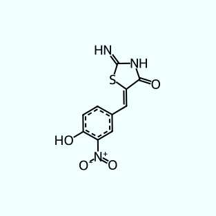 N=C1NC(=O)/C(=C/c2ccc(O)c([N+](=O)[O-])c2)S1